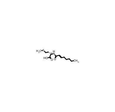 CCCCCC=CC(=O)N[C@@H](CCSC)C(=O)O